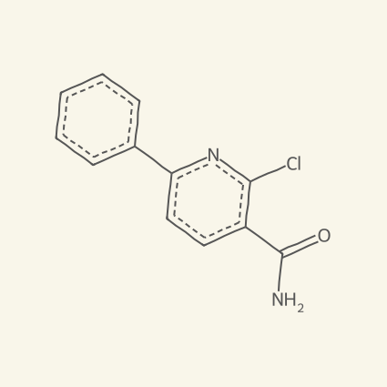 NC(=O)c1ccc(-c2ccccc2)nc1Cl